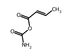 CC=CC(=O)OC(N)=O